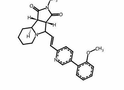 COc1ccccc1-c1ccc(/C=C/C2[C@H]3C(=O)N(C)C(=O)[C@H]3[C@@H]3CCCCN23)nc1